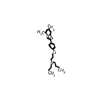 CCCCN(CCCC)CCCOc1ccc(-c2cn3c(C)cc(C)cc3n2)cc1